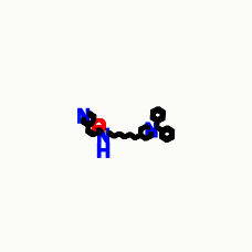 O=C(/C=C\c1cccnc1)NCCCCCCC1CCN(C(c2ccccc2)c2ccccc2)CC1